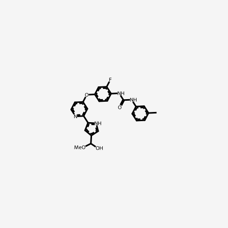 COC(O)c1c[nH]c(-c2cc(Oc3ccc(NC(=O)Nc4cccc(C)c4)c(F)c3)ccn2)c1